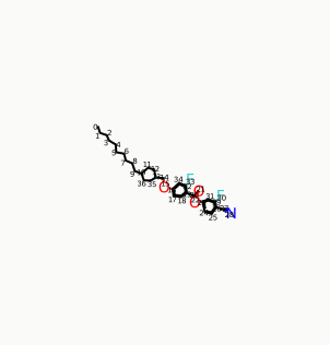 CCCCCCCCCCC1CCC(COc2ccc(C(=O)Oc3ccc(C#N)c(F)c3)c(F)c2)CC1